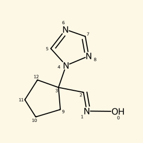 ON=CC1(n2cncn2)CCCC1